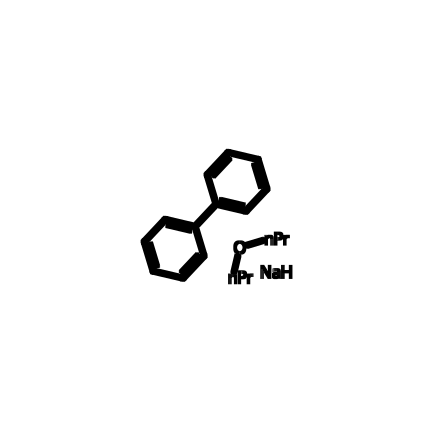 CCCOCCC.[NaH].c1ccc(-c2ccccc2)cc1